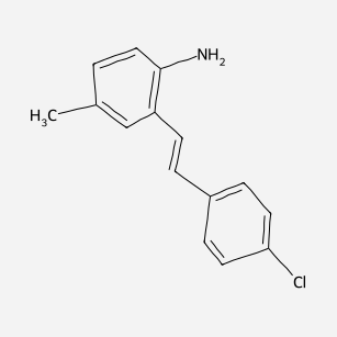 Cc1ccc(N)c(C=Cc2ccc(Cl)cc2)c1